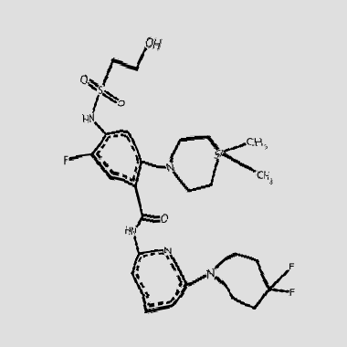 C[Si]1(C)CCN(c2cc(NS(=O)(=O)CCO)c(F)cc2C(=O)Nc2cccc(N3CCC(F)(F)CC3)n2)CC1